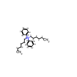 CCCCCC[N+](CCCCCC)(c1ccccc1)c1ccccc1